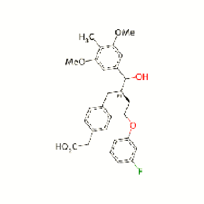 COc1cc(C(O)[C@@H](CCOc2cccc(F)c2)Cc2ccc(CC(=O)O)cc2)cc(OC)c1C